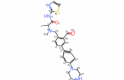 CC(C(=O)Nc1nccs1)N(C)Cc1ccc(-c2ccc(N3CCNCC3)cc2)cc1C=O